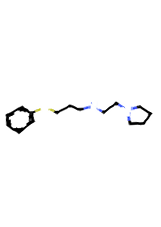 c1ccc(SCCCNCCN2CCCC2)cc1